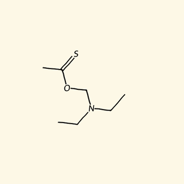 CCN(CC)COC(C)=S